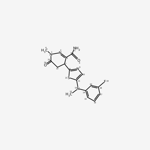 CN1N=C(C(N)=O)C(c2ncc(N(C)c3cccc(F)c3)s2)CC1=O